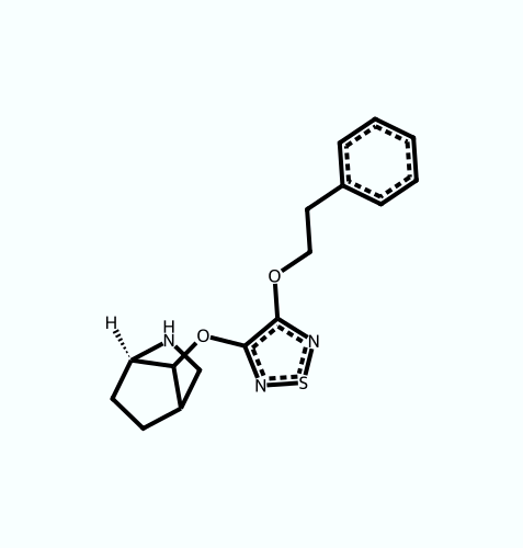 c1ccc(CCOc2nsnc2OC2C3CC[C@H]2NC3)cc1